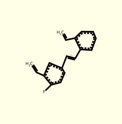 C=Cc1cc(/C=C/c2ccccc2C=C)ccc1F